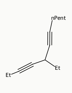 [CH2]CC#CC(C#CCCCCC)CC